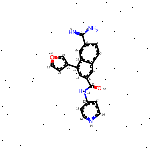 N=C(N)c1ccc2cc(C(=O)Nc3ccncc3)cc(-c3ccoc3)c2c1